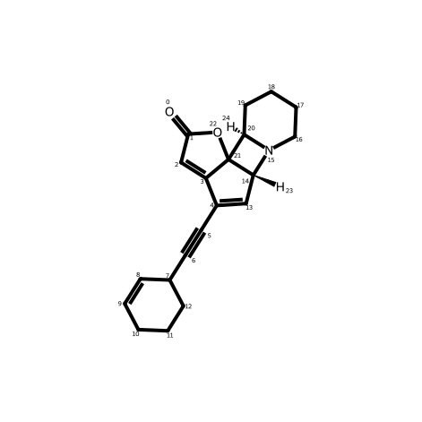 O=C1C=C2C(C#CC3C=CCCC3)=C[C@H]3N4CCCC[C@@H]4C23O1